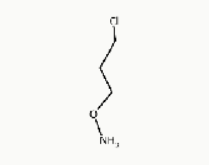 NOCCCCl